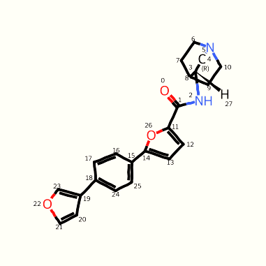 O=C(N[C@H]1CN2CCC1CC2)c1ccc(-c2ccc(-c3ccoc3)cc2)o1